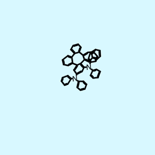 c1ccc(N(c2ccccc2)c2cc3c(c(N(c4ccccc4)c4ccccc4)c2)-c2cc4ccccc4cc2-c2ccccc2-c2ccccc2-3)cc1